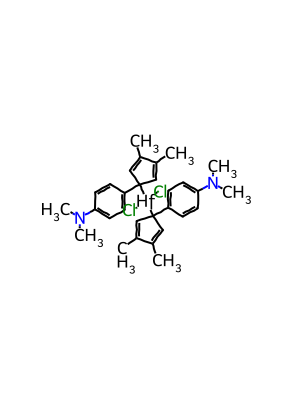 CC1=C[C](c2ccc(N(C)C)cc2)([Hf]([Cl])([Cl])[C]2(c3ccc(N(C)C)cc3)C=C(C)C(C)=C2)C=C1C